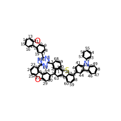 c1ccc(-c2nc(-c3ccc4oc5ccccc5c4c3)nc(-c3cccc4oc5ccc(-c6ccc7sc8c(-c9ccc%10c(c9)c9ccccc9n%10-c9ccccc9)cccc8c7c6)cc5c34)n2)cc1